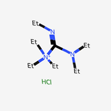 CCN=C(N(CC)CC)[N+](CC)(CC)CC.Cl